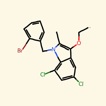 [CH2]COc1c(C)n(Cc2ccccc2Br)c2c(Cl)cc(Cl)cc12